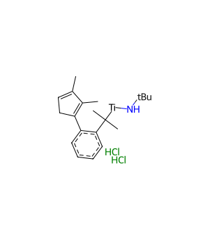 CC1=CCC(c2ccccc2[C](C)(C)[Ti][NH]C(C)(C)C)=C1C.Cl.Cl